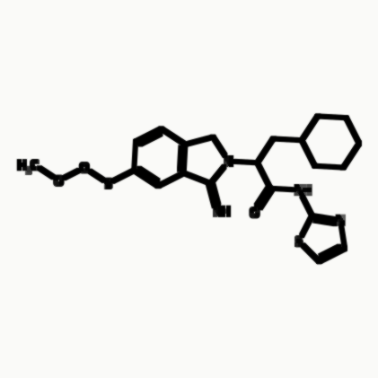 COOSc1ccc2c(c1)C(=N)N(C(CC1CCCCC1)C(=O)Nc1nccs1)C2